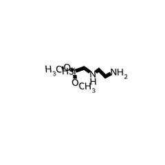 CO[SiH](CNCCN)OC